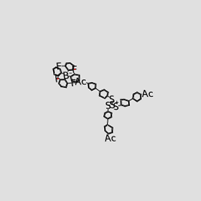 CC(=O)c1ccc(-c2ccc(S[S+](Sc3ccc(-c4ccc(C(C)=O)cc4)cc3)Sc3ccc(-c4ccc(C(C)=O)cc4)cc3)cc2)cc1.Fc1ccccc1[B-](c1ccccc1F)(c1ccccc1F)c1ccccc1F